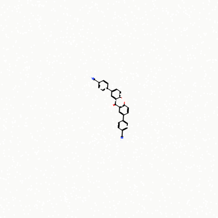 N#Cc1ccc(-c2ccc3oc4ccc(-c5ccc(C#N)cc5)cc4c(=O)c3c2)cc1